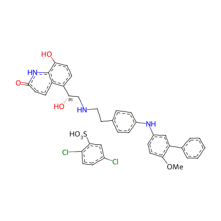 COc1ccc(Nc2ccc(CCNC[C@H](O)c3ccc(O)c4[nH]c(=O)ccc34)cc2)cc1-c1ccccc1.O=S(=O)(O)c1cc(Cl)ccc1Cl